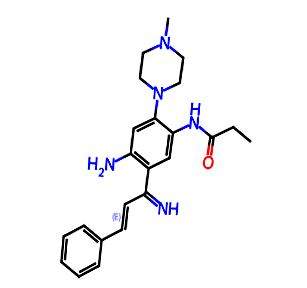 CCC(=O)Nc1cc(C(=N)/C=C/c2ccccc2)c(N)cc1N1CCN(C)CC1